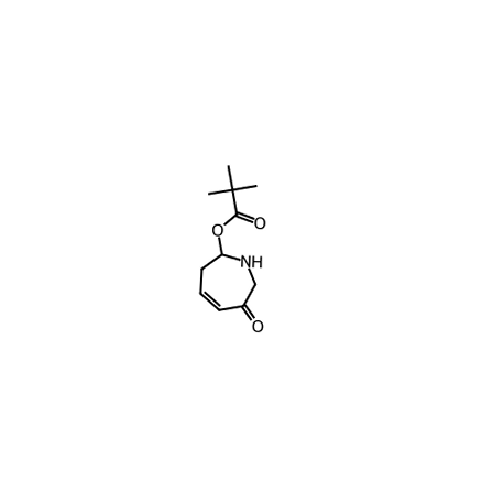 CC(C)(C)C(=O)OC1CC=CC(=O)CN1